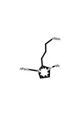 CCCCCCCCCCCCc1n(CCCCC)cc[n+]1CCC